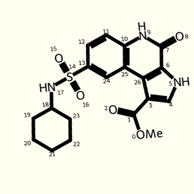 COC(=O)c1c[nH]c2c(=O)[nH]c3ccc(S(=O)(=O)NC4CCCCC4)cc3c12